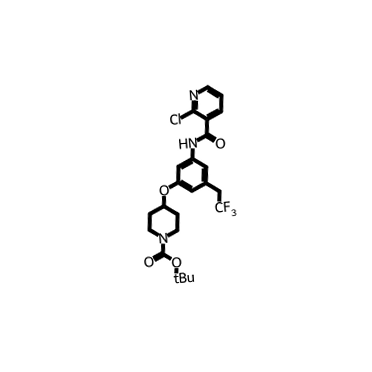 CC(C)(C)OC(=O)N1CCC(Oc2cc(CC(F)(F)F)cc(NC(=O)c3cccnc3Cl)c2)CC1